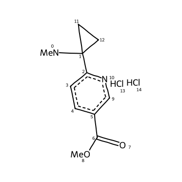 CNC1(c2ccc(C(=O)OC)cn2)CC1.Cl.Cl